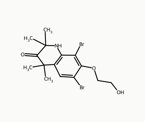 CC1(C)Nc2c(cc(Br)c(OCCO)c2Br)C(C)(C)C1=O